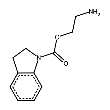 NCCOC(=O)N1CCc2ccccc21